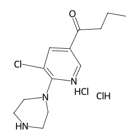 CCCC(=O)c1cnc(N2CCNCC2)c(Cl)c1.Cl.Cl